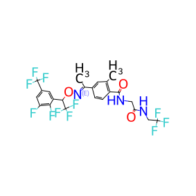 C/C(=N\OC(c1cc(C(F)(F)F)cc(F)c1F)C(F)(F)F)c1ccc(C(=O)NCC(=O)NCC(F)(F)F)c(C)c1